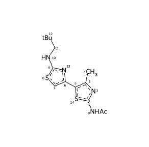 CC(=O)Nc1nc(C)c(-c2csc(NCC(C)(C)C)n2)s1